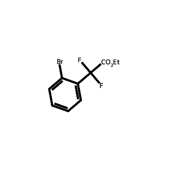 CCOC(=O)C(F)(F)c1ccccc1Br